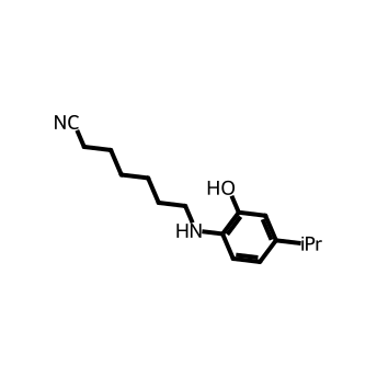 CC(C)c1ccc(NCCCCCCC#N)c(O)c1